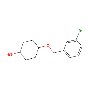 OC1CCC(OCc2cccc(Br)c2)CC1